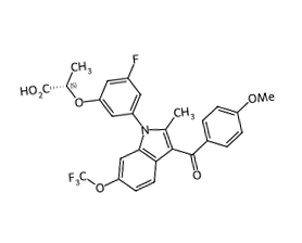 COc1ccc(C(=O)c2c(C)n(-c3cc(F)cc(O[C@@H](C)C(=O)O)c3)c3cc(OC(F)(F)F)ccc23)cc1